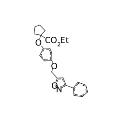 CCOC(=O)C1(Oc2ccc(OCc3cc(-c4ccccc4)no3)cc2)CCCC1